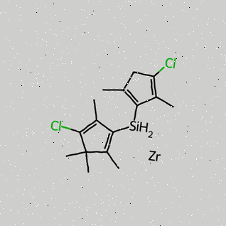 CC1=C([SiH2]C2=C(C)C(C)(C)C(Cl)=C2C)C(C)=C(Cl)C1.[Zr]